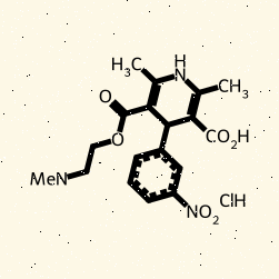 CNCCOC(=O)C1=C(C)NC(C)=C(C(=O)O)C1c1cccc([N+](=O)[O-])c1.Cl